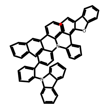 c1ccc(N(c2ccc(-c3ccccc3-n3c4ccccc4c4ccccc43)cc2)c2ccccc2-c2cccc3c2oc2ccccc23)c(-c2ccc3ccccc3c2)c1